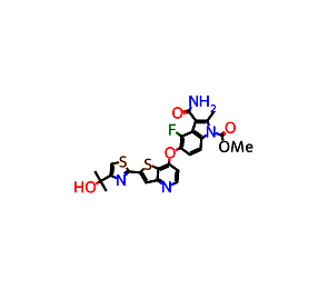 COC(=O)n1c(C)c(C(N)=O)c2c(F)c(Oc3ccnc4cc(-c5nc(C(C)(C)O)cs5)sc34)ccc21